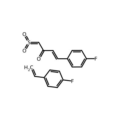 C=Cc1ccc(F)cc1.O=C(C=Cc1ccc(F)cc1)C=S(=O)=O